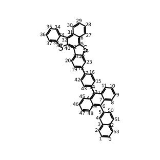 c1ccc2cc(-c3c4ccccc4c(-c4ccc(-c5ccc6c(c5)sc5c7ccccc7c7c8ccccc8sc7c65)cc4)c4ccccc34)ccc2c1